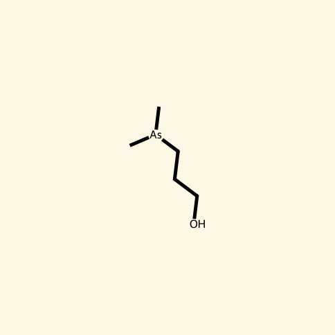 C[As](C)CCCO